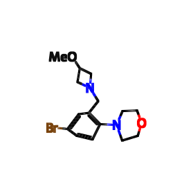 COC1CN(Cc2cc(Br)ccc2N2CCOCC2)C1